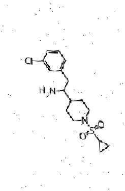 NC(Cc1cccc(Cl)c1)C1CCN(S(=O)(=O)C2CC2)CC1